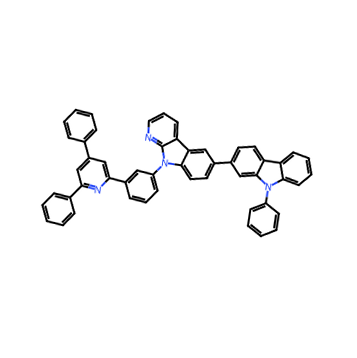 c1ccc(-c2cc(-c3ccccc3)nc(-c3cccc(-n4c5ccc(-c6ccc7c8ccccc8n(-c8ccccc8)c7c6)cc5c5cccnc54)c3)c2)cc1